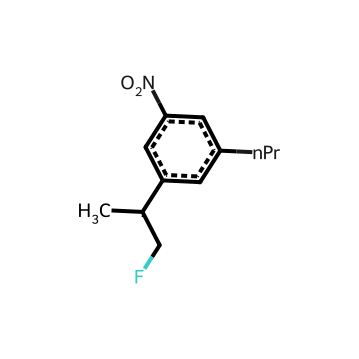 CCCc1cc([C](C)CF)cc([N+](=O)[O-])c1